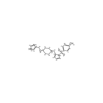 Cc1ccc(S(=O)(=O)n2cccc2CN2CCC(OCc3c[nH]cn3)CC2)cc1